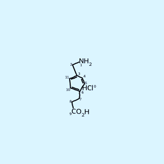 Cl.NCc1ccc(CCC(=O)O)cc1